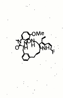 C=Cc1c(/C=C\CF)[nH]c2c1CNON[C@H](C(=O)N(C)C1=CCC=C(OC)C=C1)Cc1cccc(c1)C/C=C/2